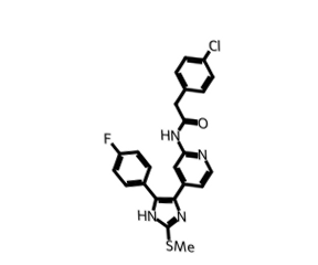 CSc1nc(-c2ccnc(NC(=O)Cc3ccc(Cl)cc3)c2)c(-c2ccc(F)cc2)[nH]1